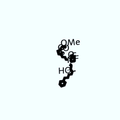 COC(=O)Oc1ccc(CCCN2C(=O)C(F)(F)C[C@@H]2/C=C/[C@@H](O)[C@@H](C)CCCCc2ccccc2)s1